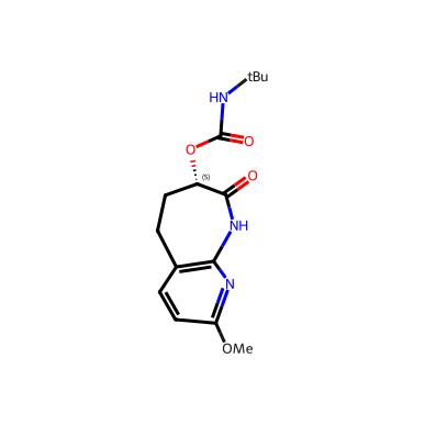 COc1ccc2c(n1)NC(=O)[C@@H](OC(=O)NC(C)(C)C)CC2